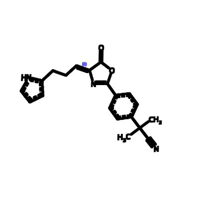 CC(C)(C#N)c1ccc(C2=N/C(=C\CCc3ccc[nH]3)C(=O)O2)cc1